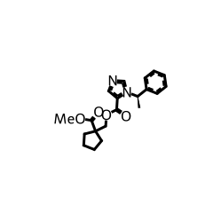 COC(=O)C1(COC(=O)c2cncn2[C@H](C)c2ccccc2)CCCC1